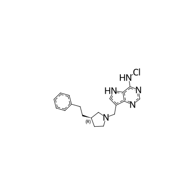 ClNc1ncnc2c(CN3CC[C@@H](CCc4ccccc4)C3)c[nH]c12